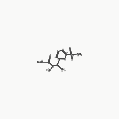 COC(=O)C(C)C(N)c1cccc(S(N)(=O)=O)c1